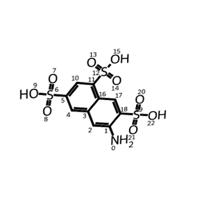 Nc1cc2cc(S(=O)(=O)O)cc(S(=O)(=O)O)c2cc1S(=O)(=O)O